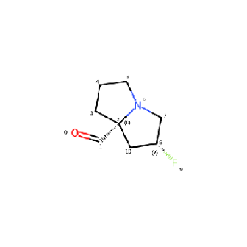 O=C[C@]12CCCN1C[C@H](F)C2